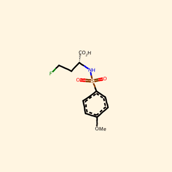 COc1ccc(S(=O)(=O)N[C@H](CCF)C(=O)O)cc1